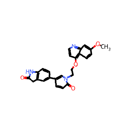 COc1ccc2c(OCCn3cc(-c4ccc5c(c4)CC(=O)N5)ccc3=O)ccnc2c1